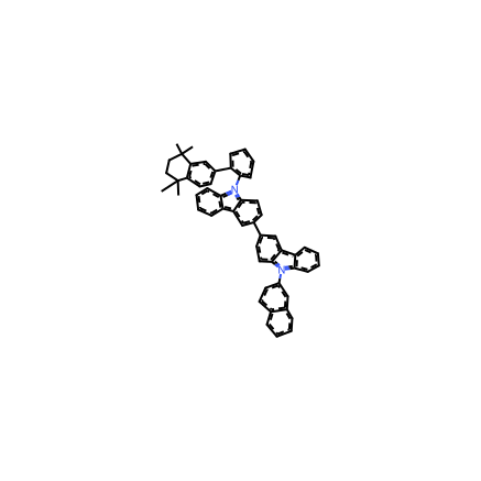 CC1(C)CCC(C)(C)c2cc(-c3ccccc3-n3c4ccccc4c4cc(-c5ccc6c(c5)c5ccccc5n6-c5ccc6ccccc6c5)ccc43)ccc21